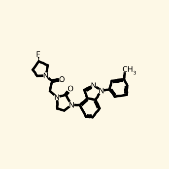 Cc1cccc(-n2ncc3c(N4CCN(CC(=O)N5CC[C@H](F)C5)C4=O)cccc32)c1